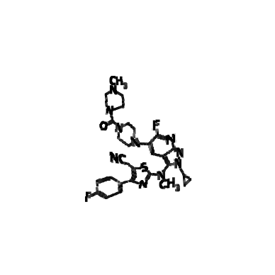 CN1CCN(C(=O)N2CCN(c3cc4c(N(C)c5nc(-c6ccc(F)cc6)c(C#N)s5)n(C5CC5)nc4nc3F)CC2)CC1